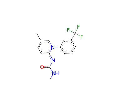 CNC(=O)N=c1ccc(C)cn1-c1cccc(C(F)(F)F)c1